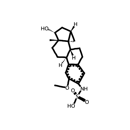 COc1cc2c(cc1NS(=O)(=O)O)CC[C@@H]1[C@@H]2CC[C@]2(C)[C@H](O)C[C@@H]3C[C@]312